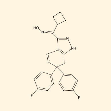 ON=C(c1n[nH]c2c1C=CC(c1ccc(F)cc1)(c1ccc(F)cc1)C2)C1CCC1